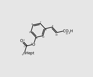 CCCCCCCC(=O)Oc1cccc(C=CC(=O)O)c1